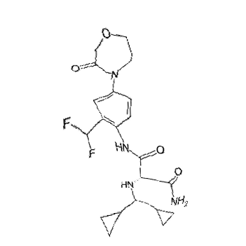 NC(=O)[C@H](NC(C1CC1)C1CC1)C(=O)Nc1ccc(N2CCOCC2=O)cc1C(F)F